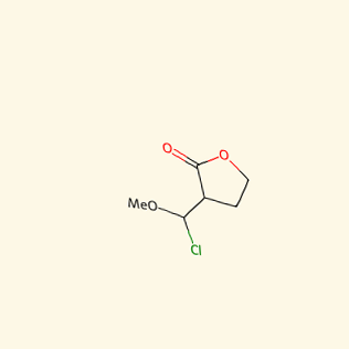 COC(Cl)C1CCOC1=O